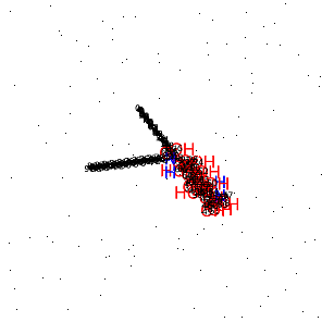 CCCCCCCCCCCCC/C=C/[C@@H](O)[C@H](CO[C@@H]1OC(CO)[C@@H](O[C@@H]2OC(CO)[C@H](O)[C@H](O[C@H]3OC(CO)[C@H](O)[C@H](O[C@@H]4OC(CO)[C@@H](O)[C@H](O)C4NC(C)=O)C3O)C2O)[C@H](O)C1O)NC(=O)CCCCCCCCCCCCCCCCCCCCC